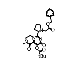 CN1CCn2c(C3CCCN3CC(=O)OCc3ccccc3)nc(=O)c(OC(=O)C(C)(C)C)c2C1=O